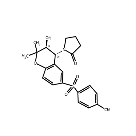 CC1(C)Oc2ccc(S(=O)(=O)c3ccc(C#N)cc3)cc2[C@@H](N2CCCC2=O)[C@@H]1O